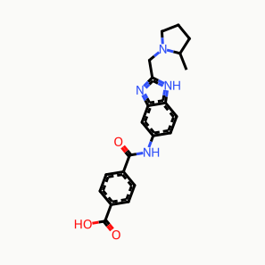 CC1CCCN1Cc1nc2cc(NC(=O)c3ccc(C(=O)O)cc3)ccc2[nH]1